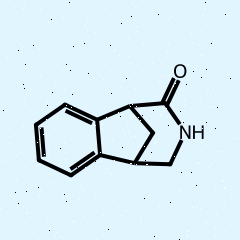 O=C1NCC2CC1c1ccccc12